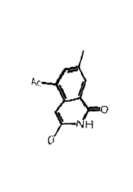 CC(=O)c1cc(C)cc2c(=O)[nH]c(Cl)cc12